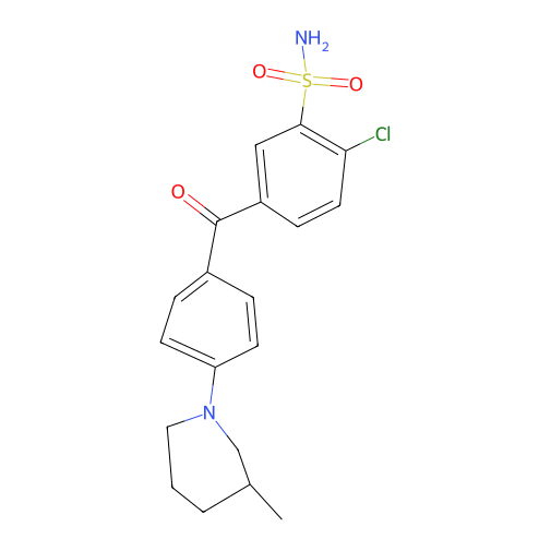 CC1CCCN(c2ccc(C(=O)c3ccc(Cl)c(S(N)(=O)=O)c3)cc2)C1